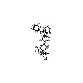 CC(C)(C)C1CC(N2CCN(C3CCCCN3Cc3ccccc3)CC2)CCC1([O])NC=O